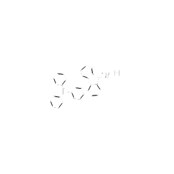 [CH3][Ni][CH]1c2ccccc2-c2ccccc21.c1ccc(P(c2ccccc2)c2ccccc2)cc1